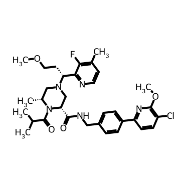 COCC[C@H](c1nccc(C)c1F)N1C[C@@H](C)N(C(=O)C(C)C)[C@@H](C(=O)NCc2ccc(-c3ccc(Cl)c(OC)n3)cc2)C1